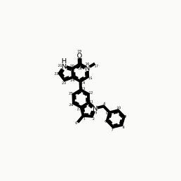 Cc1cn(Cc2ccccc2)c2cc(-c3cn(C)c(=O)c4[nH]ccc34)ccc12